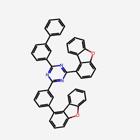 c1ccc(-c2cccc(-c3nc(-c4cccc(-c5cccc6oc7ccccc7c56)c4)nc(-c4cccc5oc6ccccc6c45)n3)c2)cc1